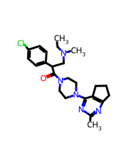 CCN(C)CC(C(=O)N1CCN(c2nc(C)nc3c2CCC3)CC1)c1ccc(Cl)cc1